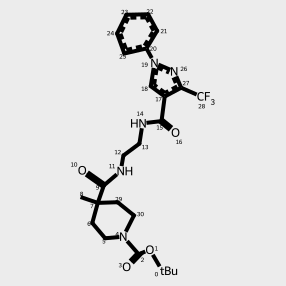 CC(C)(C)OC(=O)N1CCC(C)(C(=O)NCCNC(=O)c2cn(-c3ccccc3)nc2C(F)(F)F)CC1